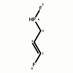 FC=CCPF